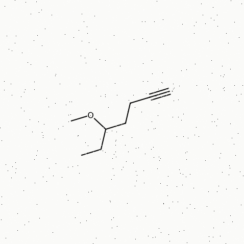 [C]#CCCC(CC)OC